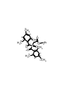 CCCOC(=O)CP(=O)(C(=O)c1c(C)cc(C)cc1C)C(=O)c1c(C)cc(C)cc1C